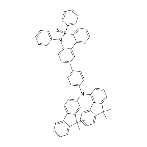 CC1(C)c2ccccc2-c2ccc(N(c3ccc(-c4ccc5c(c4)-c4ccccc4P(=S)(c4ccccc4)N5c4ccccc4)cc3)c3cccc4c3-c3ccccc3C4(C)C)cc21